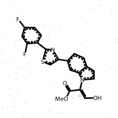 COC(=O)/C(=C/O)n1ccc2ccc(-c3csc(-c4ccc(F)cc4F)n3)cc21